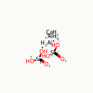 O=[Si](O)O.O=[Si](O)O.[AlH3].[AlH3].[CaH2]